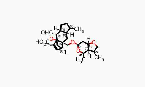 CC(C)C1=C[C@H]2C[C@@]3(C=O)[C@@H]4CC[C@@H](C)[C@H]4C[C@@]2(CO[C@H]2C[C@@H]4OC[C@@H](C)[C@H]4[C@@H](C)O2)[C@]13OC(=O)O